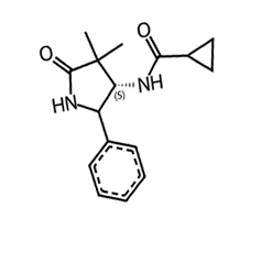 CC1(C)C(=O)NC(c2ccccc2)[C@H]1NC(=O)C1CC1